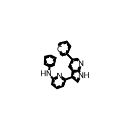 c1ccc(Nc2cccc(-c3c[nH]c4ncc(-c5ccccc5)cc34)n2)cc1